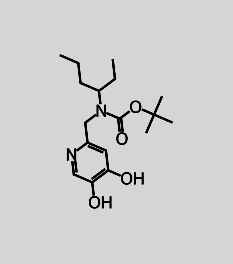 CCCC(CC)N(Cc1cc(O)c(O)cn1)C(=O)OC(C)(C)C